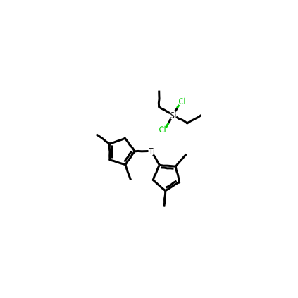 CC1=CC(C)=[C]([Ti][C]2=C(C)C=C(C)C2)C1.CC[Si](Cl)(Cl)CC